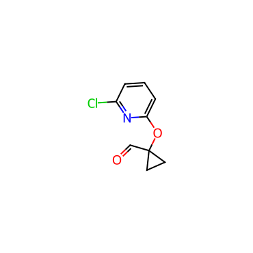 O=CC1(Oc2cccc(Cl)n2)CC1